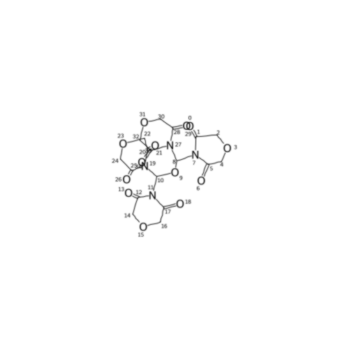 O=C1COCC(=O)N1C(OC(N1C(=O)COCC1=O)N1C(=O)COCC1=O)N1C(=O)COCC1=O